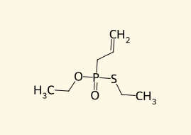 C=CCP(=O)(OCC)SCC